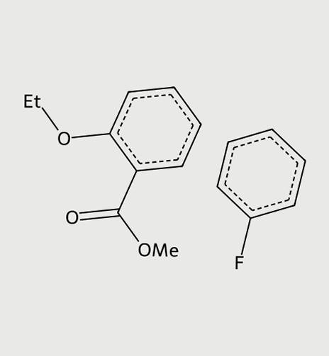 CCOc1ccccc1C(=O)OC.Fc1ccccc1